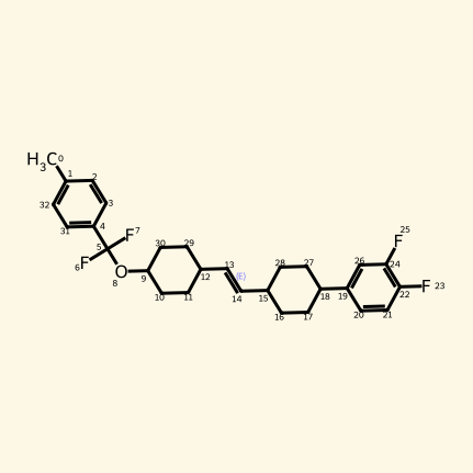 Cc1ccc(C(F)(F)OC2CCC(/C=C/C3CCC(c4ccc(F)c(F)c4)CC3)CC2)cc1